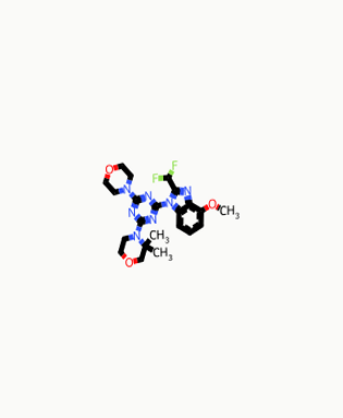 COc1cccc2c1nc(C(F)F)n2-c1nc(N2CCOCC2)nc(N2CCOCC2(C)C)n1